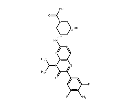 CC(C)n1c(=O)c(-c2cc(F)c(N)c(F)c2)nc2cnc(N[C@H]3C[C@H](F)CN(C(=O)O)C3)nc21